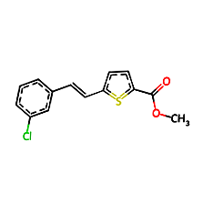 COC(=O)c1ccc(C=Cc2cccc(Cl)c2)s1